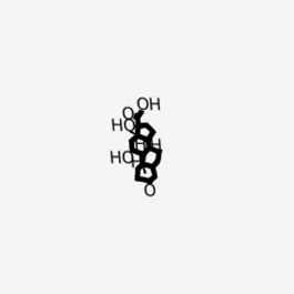 C[C@]12CCC(=O)CC1CC[C@@H]1[C@@H]2[C@@H](O)C[C@@]2(C)[C@H]1CC[C@]2(O)C(=O)CO